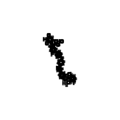 C[C@@H](Oc1cc(-c2cnn(C3CCC(CN4CCN(c5cc6c(cc5F)CN(C5CCC(=O)NC5=O)C6C(=O)C=O)CC4)CC3)c2)cnc1N)c1c(Cl)ccc(F)c1Cl